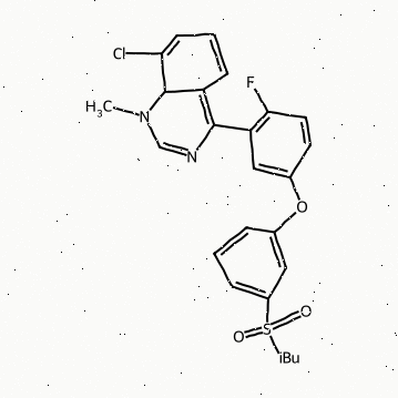 CCC(C)S(=O)(=O)c1cccc(Oc2ccc(F)c(C3=C4C=CC=C(Cl)C4N(C)C=N3)c2)c1